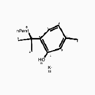 CCCCCC(C)(C)c1ccc(C)cc1O.[K]